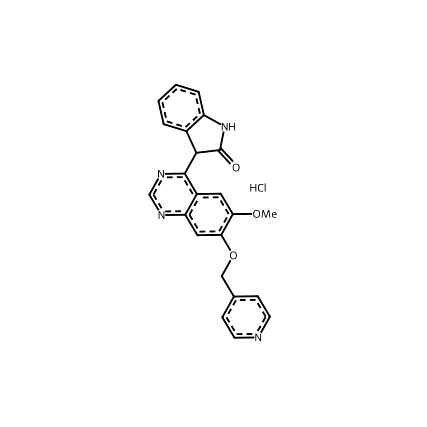 COc1cc2c(C3C(=O)Nc4ccccc43)ncnc2cc1OCc1ccncc1.Cl